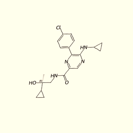 C[C@](O)(CNC(=O)c1cnc(NC2CC2)c(-c2ccc(Cl)cc2)n1)C1CC1